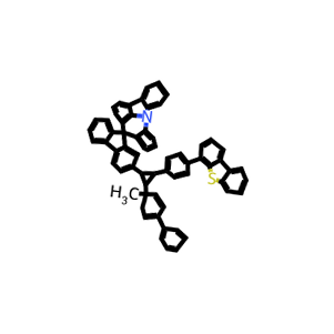 CC1(C2C(c3ccc(-c4cccc5c4sc4ccccc45)cc3)C2c2ccc3c(c2)C2(c4ccccc4-3)c3ccccc3-n3c4ccccc4c4cccc2c43)C=CC(c2ccccc2)=CC1